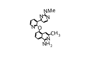 CNc1nccc(-c2cccnc2Oc2cccc3c(N)nc(C)cc23)n1